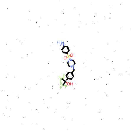 Nc1ccc(S(=O)(=O)N2CCN(Cc3ccc(C(O)(C(F)(F)F)C(F)(F)F)cc3)CC2)cc1